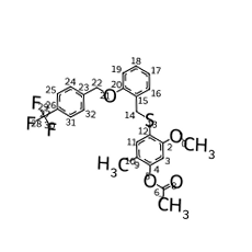 COc1cc(OC(C)=O)c(C)cc1SCc1ccccc1OCc1ccc(C(F)(F)F)cc1